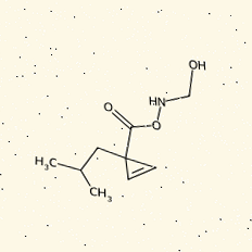 CC(C)CC1(C(=O)ONCO)C=C1